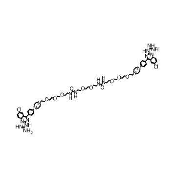 N=C(N)Nc1nc(-c2ccc(N3CCN(CCOCCOCCOCCNC(=O)NCCOCCOCCNC(=O)NCCOCCOCCOCCN4CCN(c5ccc(-c6nc(NC(=N)N)nc7ccc(Cl)cc67)cc5)CC4)CC3)cc2)c2cc(Cl)ccc2n1